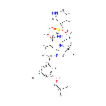 CCCN(c1nc(-c2cc(F)cc(OCC(C)C)c2)ccc1C(=O)NS(=O)(=O)C1CCCNC1)C(C)(C)C